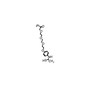 CC(S)Nc1ccc(OCCOCCOCCOCC(=O)C(C)C)cc1